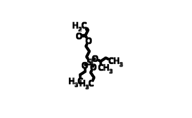 C=CC(=O)OCCC[Si](OCCC)(OCCC)OC(C)CC